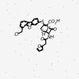 O=C(Cc1ccco1)N[C@@H]1C(=O)N2C(C(=O)O)=C(Sc3ccc4c(c3)oc3c(CCl)cccc34)CS[C@H]12